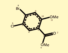 COC(=O)c1cc(Cl)c(Br)cc1OC